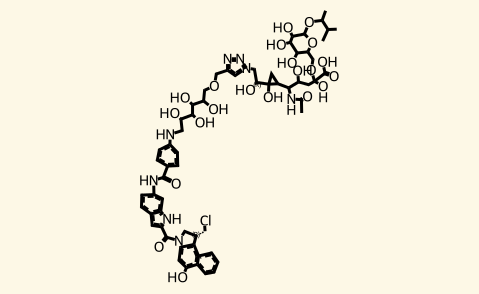 CC(=O)NC(C(O)CC(O)(OCC1OC(OC(C)C(C)C)C(O)C(O)C1O)C(=O)O)C1CC1(O)[C@H](O)Cn1cc(COCC(O)C(O)C(O)C(O)CNc2ccc(C(=O)Nc3ccc4cc(C(=O)N5C[C@H](CCl)c6c5cc(O)c5ccccc65)[nH]c4c3)cc2)nn1